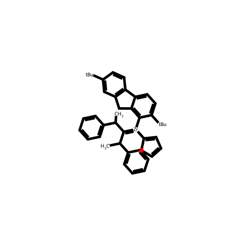 CC([C](C(C)c1ccccc1)=[Zr]([C]1=CC=CC1)[c]1c(C(C)(C)C)ccc2c1Cc1cc(C(C)(C)C)ccc1-2)c1ccccc1